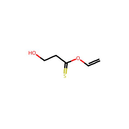 C=COC(=S)CCO